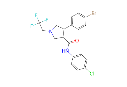 O=C(Nc1ccc(Cl)cc1)C1CN(CC(F)(F)F)CC1c1ccc(Br)cc1